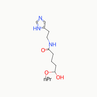 CCCOC(O)CCCC(=O)NCCc1cnc[nH]1